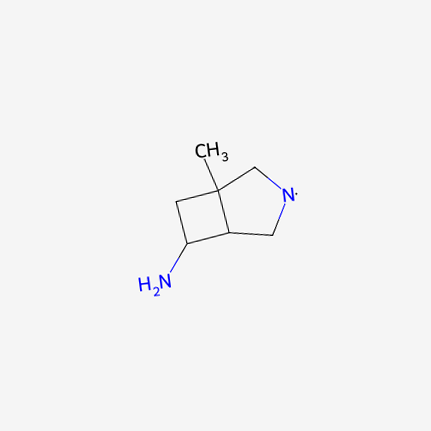 CC12C[N]CC1C(N)C2